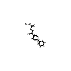 COC(=O)CCC(Cl)c1ccc(-c2ccccc2)cc1